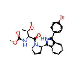 COC(=O)N[C@H](C(=O)N1CCC[C@@H]1c1[nH]c(-c2ccc(Br)cc2)c2c1CCCC2)[C@@H](C)OC